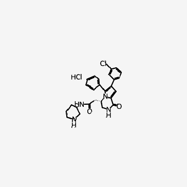 Cl.O=C(C[C@H]1CNC(=O)c2cc(-c3cccc(Cl)c3)c(-c3ccccc3)n21)N[C@@H]1CCCNC1